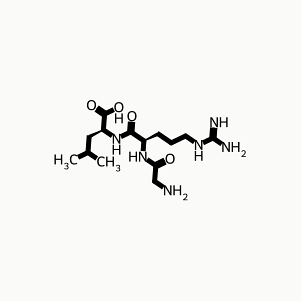 CC(C)C[C@H](NC(=O)[C@@H](CCCNC(=N)N)NC(=O)CN)C(=O)O